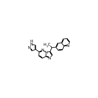 CC(c1ccc2ncccc2c1)c1cnc2ccc(-c3cn[nH]c3)nn12